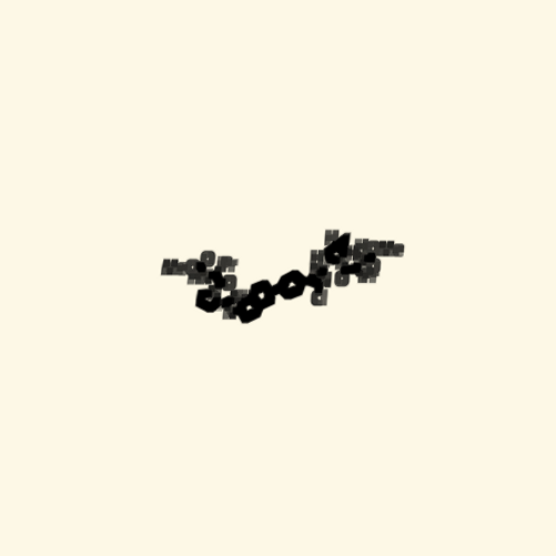 COC(=O)N[C@H](C(=O)N1CCC[C@H]1c1nc2ccc3cc(-c4ccc(-c5[nH]c([C@@H]6C[C@H]7C[C@H]7N6C(=O)[C@@H](NC(=O)OC)C(C)C)nc5Cl)cc4)ccc3c2[nH]1)C(C)C